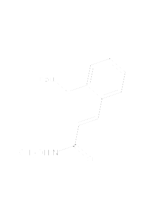 CCCCSc1ccccc1/C=C/C(=O)N(C)O